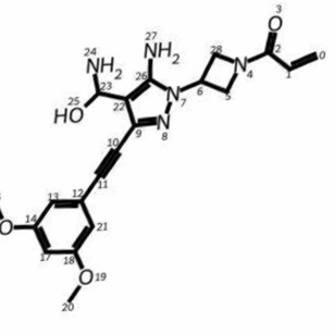 C=CC(=O)N1CC(n2nc(C#Cc3cc(OC)cc(OC)c3)c(C(N)O)c2N)C1